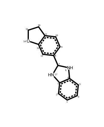 c1ccc2c(c1)NC(c1ccc3c(c1)OCC3)N2